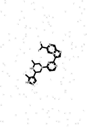 Cc1[nH]ncc1C1CN(c2ccnc(-c3cnc4cnc(C(F)F)cn34)n2)CC(C)N1